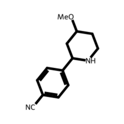 COC1CCNC(c2ccc(C#N)cc2)C1